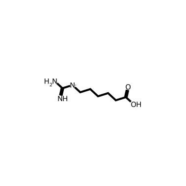 N=C(N)[N]CCCCCC(=O)O